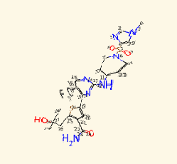 Cn1cnc(S(=O)(=O)N2CCC(Nc3ncc(C(F)(F)F)c(-c4cc(C(N)=O)c(CC(C)(C)O)s4)n3)CC2)c1